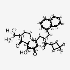 CC(C)N1CCn2c(CN(Cc3cccc4ccccc34)C(=O)C3CC(F)(F)C3)cc(=O)c(O)c2C1=O